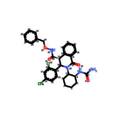 NC(=O)N[C@H]1CCCCC1N1C(=O)c2ccccc2[C@@H](C(=O)NOCc2ccccc2)C1c1ccc(Cl)cc1Cl